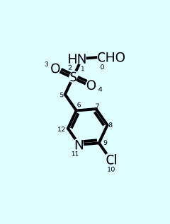 O=CNS(=O)(=O)Cc1ccc(Cl)nc1